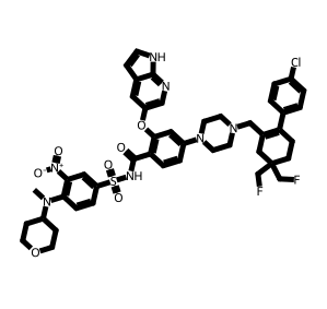 CN(c1ccc(S(=O)(=O)NC(=O)c2ccc(N3CCN(CC4=C(c5ccc(Cl)cc5)CCC(CF)(CF)C4)CC3)cc2Oc2cnc3[nH]ccc3c2)cc1[N+](=O)[O-])C1CCOCC1